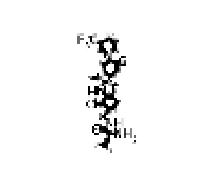 Cn1c(Nc2c(Cl)ccc(CNC(=O)[C@H](N)C3CC3)c2Cl)nc2cc(Cl)c(N3CCCC(C(F)(F)F)C3)cc21